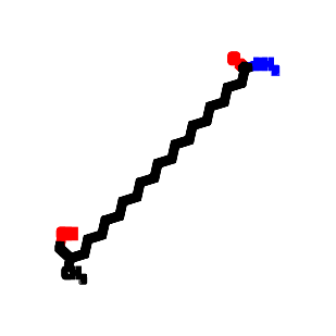 CC(CO)CCCCCCCCCCCCCCCCCCCC(N)=O